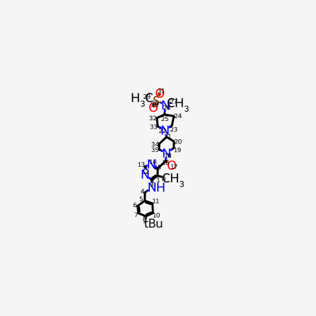 Cc1c(NCc2ccc(C(C)(C)C)cc2)ncnc1C(=O)N1CCC(N2CCC(N(C)S(C)(=O)=O)CC2)CC1